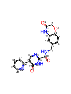 O=C1COc2ccc(CNC(=O)c3ncc(-c4ccccn4)c(=O)[nH]3)cc2N1